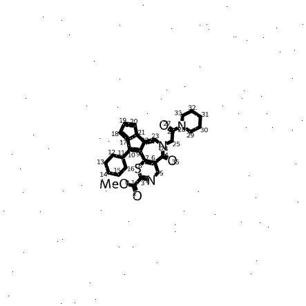 COC(=O)C1=NCC2=C(S1)C1=C(C3CCCCC3)C3=CC=CC3C1=CN(CC(=O)N1CCCCC1)C2=O